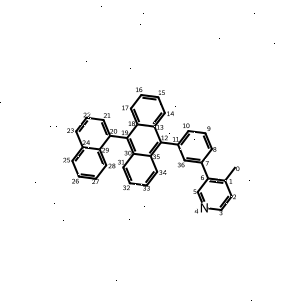 Cc1ccncc1-c1cccc(-c2c3ccccc3c(-c3cccc4ccccc34)c3ccccc23)c1